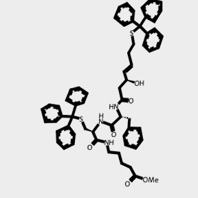 COC(=O)CCCCNC(=O)[C@@H](CSC(c1ccccc1)(c1ccccc1)c1ccccc1)NC(=O)[C@@H](Cc1ccccc1)NC(=O)C[C@H](O)/C=C/CCSC(c1ccccc1)(c1ccccc1)c1ccccc1